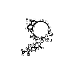 C=CC1CC1(NC(=O)[C@@H]1C[C@@H]2CN1C(=O)[C@H](C(C)(C)C)NC(=O)OCCCCCc1cc(CC)c3ccnc(c3c1)O2)C(=O)NS(=O)(=O)C1CC1